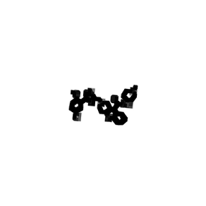 COc1ccc(Cl)cc1-c1nc(CN2CCc3nc4ccccc4c(C(=O)NC4CCN(C)CC4)c3C2)no1